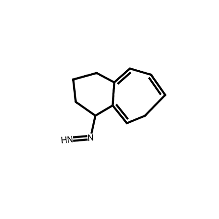 N=NC1CCCC2=CC=CCC=C21